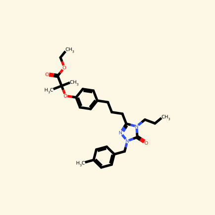 CCCn1c(CCCc2ccc(OC(C)(C)C(=O)OCC)cc2)nn(Cc2ccc(C)cc2)c1=O